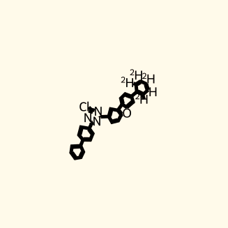 [2H]c1c([2H])c([2H])c(-c2ccc3c(c2)oc2ccc(-c4nc(Cl)nc(-c5ccc(-c6ccccc6)cc5)n4)cc23)c([2H])c1[2H]